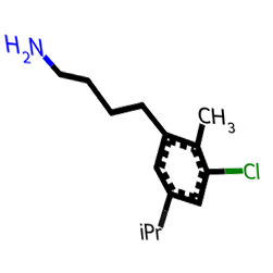 Cc1c(Cl)cc(C(C)C)cc1CCCCN